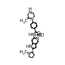 C[C@H]1CNCCN1c1ccc(C(=O)Nc2cc3[nH]c([C@H]4CCCN4C)cc3cn2)cc1.Cl.Cl